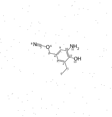 CCc1cc(COC#N)cc(N)c1O